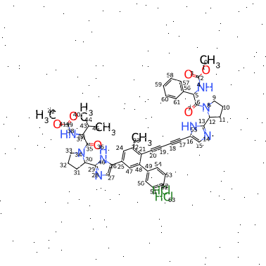 COC(=O)NC(C(=O)N1CCCC1c1ncc(C#CC#Cc2c(C)cc(-c3cnc(C4CCCN4C(=O)[C@@H](NC(=O)OC)C(C)C)[nH]3)cc2-c2ccccc2)[nH]1)c1ccccc1.Cl.Cl